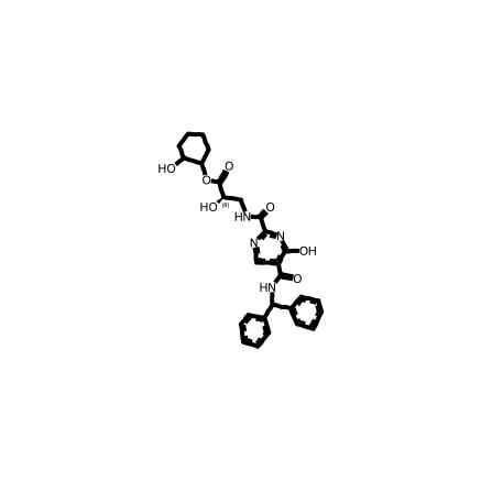 O=C(NC[C@@H](O)C(=O)OC1CCCCC1O)c1ncc(C(=O)NC(c2ccccc2)c2ccccc2)c(O)n1